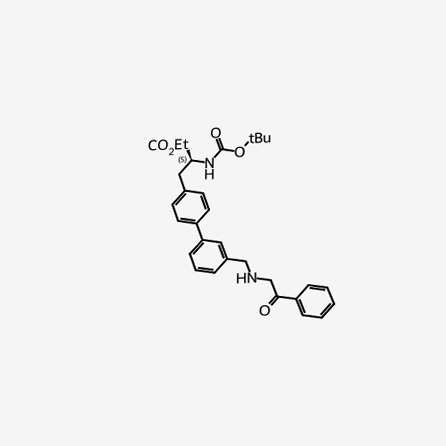 CCOC(=O)[C@H](Cc1ccc(-c2cccc(CNCC(=O)c3ccccc3)c2)cc1)NC(=O)OC(C)(C)C